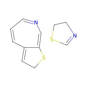 C1=CC2=CCSC2=CN=C1.C1=NCCS1